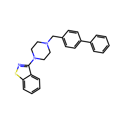 [c]1ccccc1-c1ccc(CN2CCN(c3nsc4ccccc34)CC2)cc1